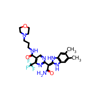 Cc1cc2c(cc1C)NC(=C(C(N)=O)c1ncc(C(=O)NCCCN3CCOCC3)c(C(F)(F)F)n1)N2